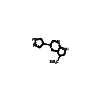 CCOC(=O)c1c[nH]c2ncc(-c3cn[nH]c3)cc12